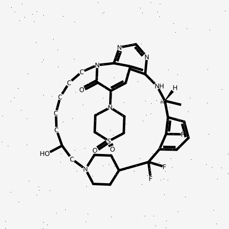 C[C@H]1Nc2ncnc3c2cc(N2CCS(=O)(=O)CC2)c(=O)n3CCCCCC(O)CN2CCC(CC2)C(F)(F)c2cccc1c2F